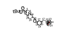 CC(C)(C)OC(=O)N1CCN2CC(COc3cccc(CN4CC5CCC(CC5)C4)c3)CCC2C1